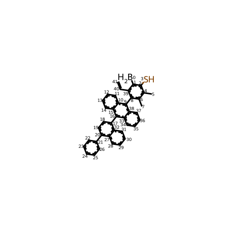 Bc1c(S)c(C)c(C)c(-c2c3ccccc3c(-c3ccc(-c4ccccc4)c4ccccc34)c3ccccc23)c1C=C